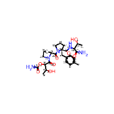 Cc1ccc(C[C@]2(C(=O)NC(C(N)=O)C(C)O)CCCN2C(=O)[C@@H]2CCCN2C(=O)C(OC(N)=O)C(C)O)cc1